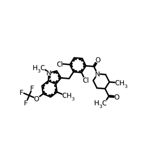 CC(=O)C1CCN(C(=O)c2ccc(Cl)c(Cc3cn(C)c4cc(OC(F)(F)F)cc(C)c34)c2Cl)CC1C